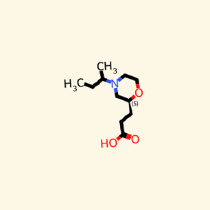 CCC(C)N1CCO[C@@H](CCC(=O)O)C1